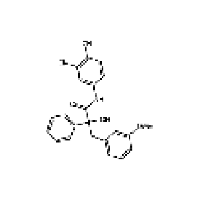 COc1cccc(CC(O)(C(=O)Nc2ccc(C#N)c(Cl)c2)c2ccccc2)c1